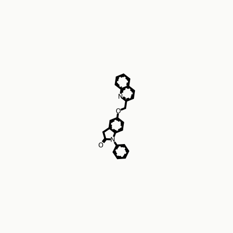 O=C1Cc2cc(OCc3ccc4ccccc4n3)ccc2N1c1ccccc1